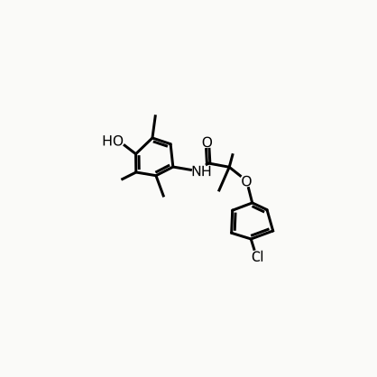 Cc1cc(NC(=O)C(C)(C)Oc2ccc(Cl)cc2)c(C)c(C)c1O